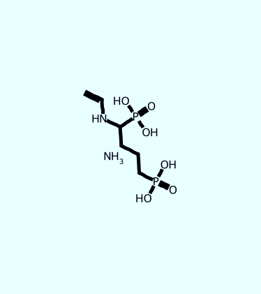 C=CNC(CCCP(=O)(O)O)P(=O)(O)O.N